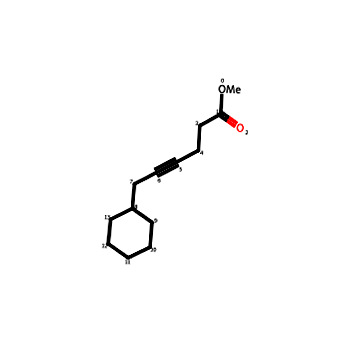 COC(=O)CCC#CCC1CC[CH]CC1